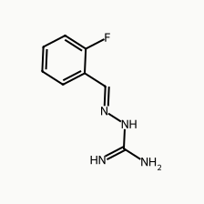 N=C(N)NN=Cc1ccccc1F